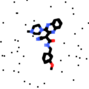 COc1cccc(CNC(=O)C(C#N)c2nc3ccccc3nc2N2CCN(C)CC2)c1